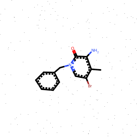 Cc1c(Br)cn(Cc2ccccc2)c(=O)c1N